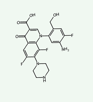 Nc1cc(-n2cc(C(=O)O)c(=O)c3cc(F)c(N4CCNCC4)c(F)c32)c(CO)cc1F